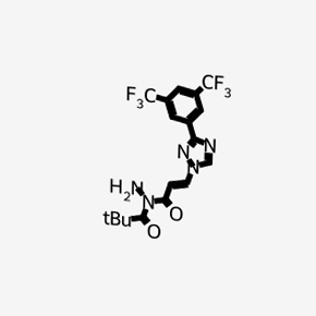 CC(C)(C)C(=O)N(N)C(=O)C=Cn1cnc(-c2cc(C(F)(F)F)cc(C(F)(F)F)c2)n1